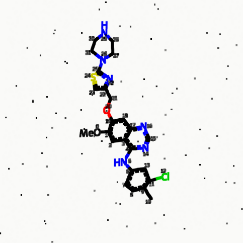 COc1cc2c(Nc3ccc(C)c(Cl)c3)ncnc2cc1OCc1csc(N2CCNCC2)n1